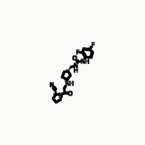 N#C[C@@H]1CCCN1C(=O)CN[C@@H]1CC[C@H](CNC(=O)Nc2ccc(F)cc2F)C1